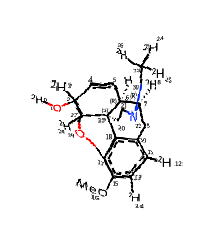 [2H]OC1([2H])C=C[C@H]2[C@@]3([2H])Cc4c([2H])c([2H])c(OC)c5c4[C@@]2(CCN3C([2H])([2H])[2H])C1([2H])O5